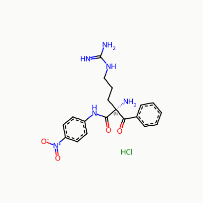 Cl.N=C(N)NCCC[C@](N)(C(=O)Nc1ccc([N+](=O)[O-])cc1)C(=O)c1ccccc1